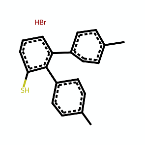 Br.Cc1ccc(-c2cccc(S)c2-c2ccc(C)cc2)cc1